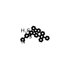 Cc1cc2c(c3sc4cc(-c5cccnc5)ccc4c13)-c1ccc(-c3c4ccccc4c(-c4ccccc4)c4ccccc34)cc1C21c2ccccc2-c2ccccc21